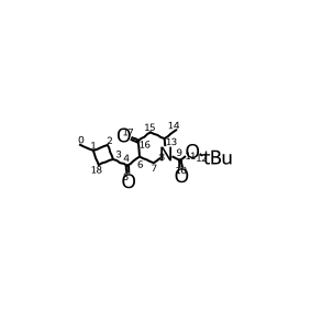 CC1CC(C(=O)C2CN(C(=O)OC(C)(C)C)C(C)CC2=O)C1